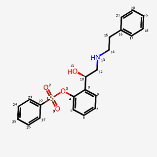 O=S(=O)(Oc1ccccc1[C@@H](O)CNCCc1ccccc1)c1ccccc1